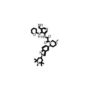 C[C@H]1CC[C@H](c2ccc3nn(C4CC(C)(C)N(C)C(C)(C)C4)cc3c2)N(C(=O)C(=O)Nc2cncc(C=N)c2NC2CCCCO2)C1